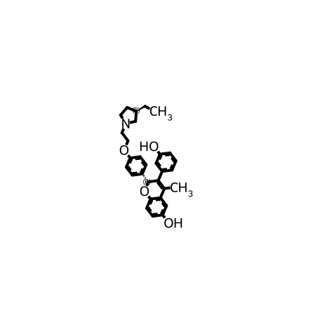 CC[C@@H]1CCN(CCOc2ccc([C@H]3Oc4ccc(O)cc4C(C)=C3c3cccc(O)c3)cc2)C1